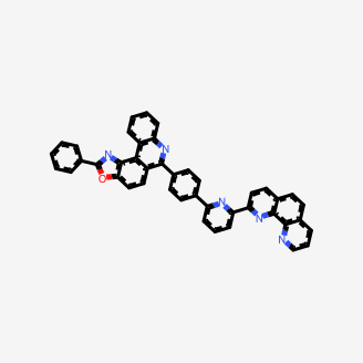 c1ccc(-c2nc3c(ccc4c(-c5ccc(-c6cccc(-c7ccc8ccc9cccnc9c8n7)n6)cc5)nc5ccccc5c43)o2)cc1